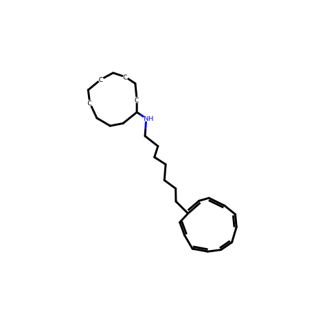 C1=C\C=C/C=C\C(CCCCCCCNC2CCCCCCCCCC2)=C/C=C\C=C/1